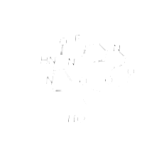 CC(CCO)Oc1ccnc2[nH]c(=O)n(-c3cc4c5c(cnc4cc3F)OCCO5)c12